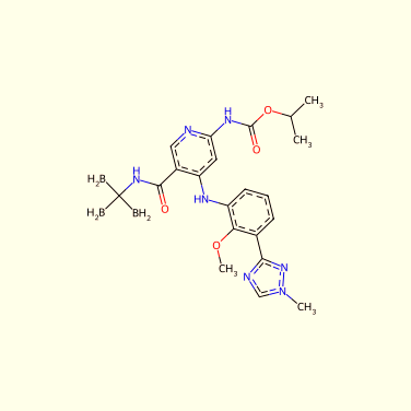 BC(B)(B)NC(=O)c1cnc(NC(=O)OC(C)C)cc1Nc1cccc(-c2ncn(C)n2)c1OC